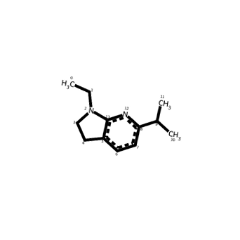 CCN1CCc2ccc(C(C)C)nc21